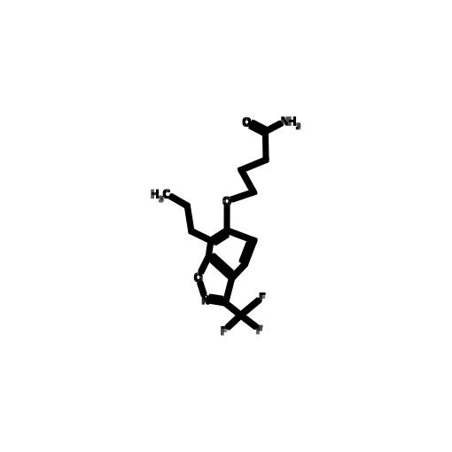 CCCc1c(OCCCC(N)=O)ccc2c(C(F)(F)F)noc12